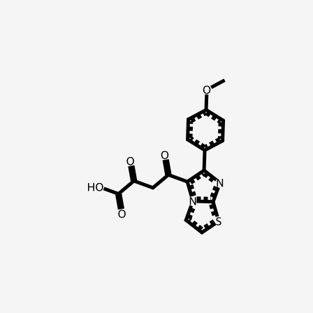 COc1ccc(-c2nc3sccn3c2C(=O)CC(=O)C(=O)O)cc1